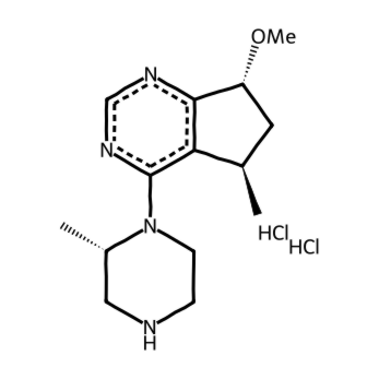 CO[C@@H]1C[C@@H](C)c2c1ncnc2N1CCNC[C@@H]1C.Cl.Cl